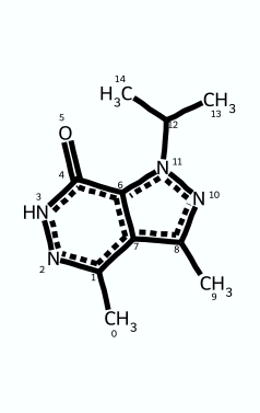 Cc1n[nH]c(=O)c2c1c(C)nn2C(C)C